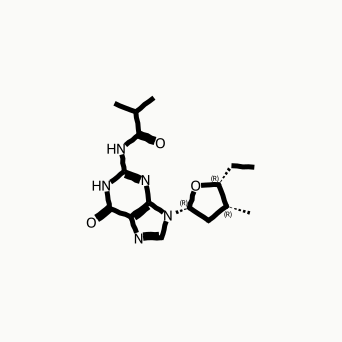 CC[C@H]1O[C@@H](n2cnc3c(=O)[nH]c(NC(=O)C(C)C)nc32)C[C@H]1C